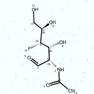 CC(=O)N[C@H](C=O)[C@@H](O)[C@H](F)[C@H](O)CO